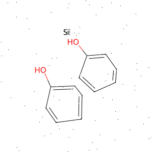 Oc1ccccc1.Oc1ccccc1.[Si]